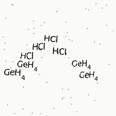 Cl.Cl.Cl.Cl.[GeH4].[GeH4].[GeH4].[GeH4]